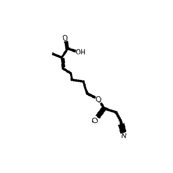 CC(=CCCCCOC(=O)CC#N)C(=O)O